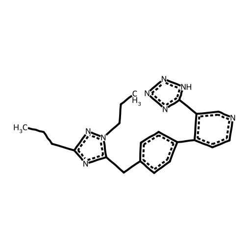 CCCc1nc(Cc2ccc(-c3ccncc3-c3nnn[nH]3)cc2)n(CCC)n1